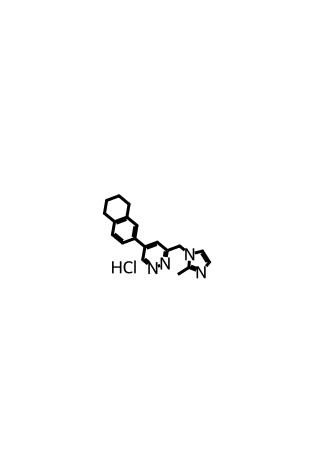 Cc1nccn1Cc1cc(-c2ccc3c(c2)CCCC3)cnn1.Cl